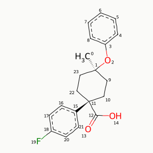 C[C@]1(Oc2ccccc2)CC[C@@](C(=O)O)(c2ccc(F)cc2)CC1